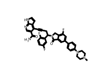 CN1CCN(c2ccc(-c3cc(F)c4c(c3)C(=O)N(C(CC#Cc3c(C(N)=O)cnc5[nH]ccc35)c3cc(F)ccc3F)C4)cc2)CC1